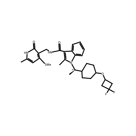 CSc1cc(C)[nH]c(=O)c1CNC(=O)c1c(C)n([C@H](C)C2CCC(OC3CC(F)(F)C3)CC2)c2ccccc12